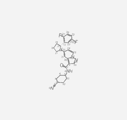 N#CC1CCC(NC(=O)c2cnn3ccc(N4CCC[C@@H]4c4cc(F)ccc4F)cc23)CC1